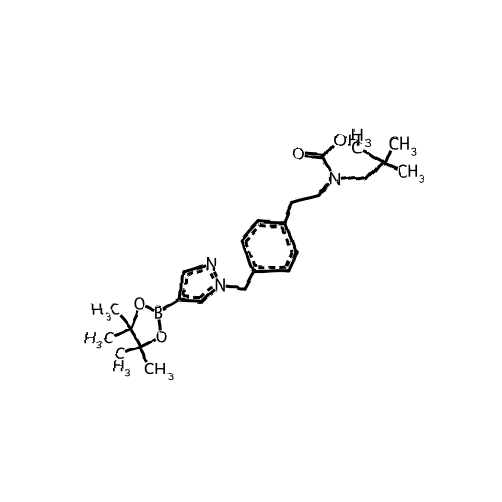 CC(C)(C)CN(CCc1ccc(Cn2cc(B3OC(C)(C)C(C)(C)O3)cn2)cc1)C(=O)O